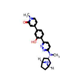 CN(c1ccc(-c2ccc(-c3ccn(C)c(=O)c3)cc2O)nn1)[C@@H]1C[C@H]2CC[C@@H](C1)N2